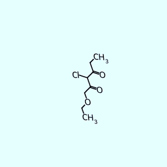 CCOCC(=O)C(Cl)C(=O)CC